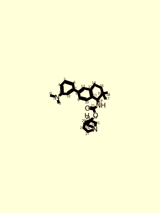 CN(C)c1cccc(-c2ccc3c(c2)CCC(C)(C)C3NC(=O)O[C@H]2CN3CCC2CC3)c1